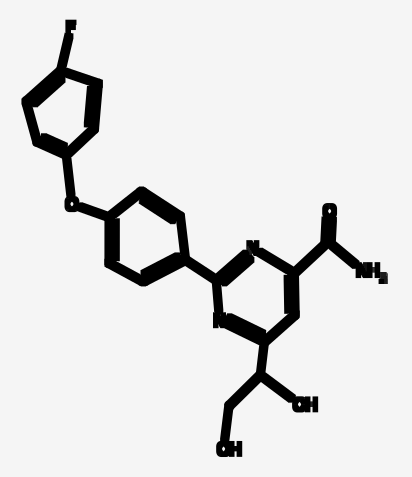 NC(=O)c1cc(C(O)CO)nc(-c2ccc(Oc3ccc(F)cc3)cc2)n1